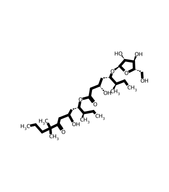 CCCC(C)(C)C(=O)CC(O)C[C@H](OC(=O)C[C@@H](O)C[C@H](O[C@@H]1O[C@@H](CO)[C@H](O)[C@H]1O)[C@H](C)CC)[C@H](C)CC